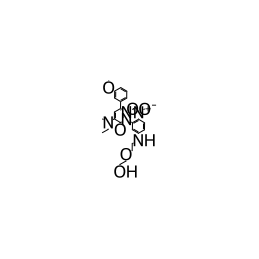 CCN(C)c1cc(-c2cccc(OC)c2)nn(-c2cc(NCCOCCO)ccc2[N+](=O)[O-])c1=O